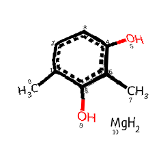 Cc1ccc(O)c(C)c1O.[MgH2]